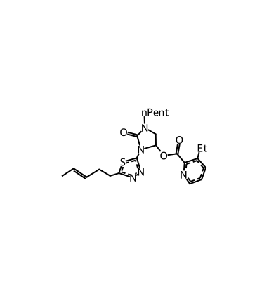 CC=CCCc1nnc(N2C(=O)N(CCCCC)CC2OC(=O)c2ncccc2CC)s1